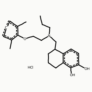 CCCN(CCOc1c(C)cccc1C)CC1CCCc2c1ccc(O)c2O.Cl